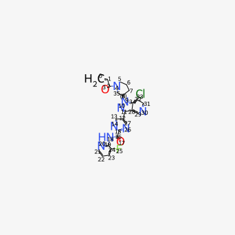 C=CC(=O)N1CCC[C@@H](n2nc(-c3cnc(C(=O)Nc4ncccc4F)nc3)c3cncc(Cl)c32)C1